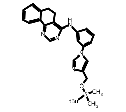 CC(C)(C)[Si](C)(C)OCc1cn(-c2cccc(Nc3ncnc4c3CCc3ccccc3-4)c2)cn1